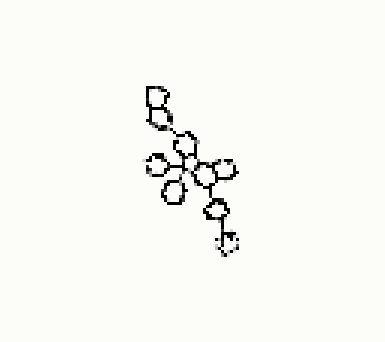 c1ccc(C2(c3ccccc3)c3cc(-c4ccc5ccccc5c4)ccc3-c3c2cc(-c2ccc(C4=NCCO4)cc2)c2ccccc32)cc1